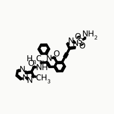 Cc1nn2cccnc2c1C(=O)N[C@@H](C)c1cc2cccc(C#Cc3cnn(S(=O)(=O)CN)c3)c2c(=O)n1-c1ccccc1